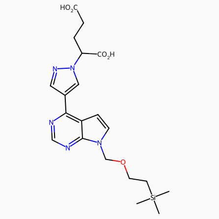 C[Si](C)(C)CCOCn1ccc2c(-c3cnn(C(CCC(=O)O)C(=O)O)c3)ncnc21